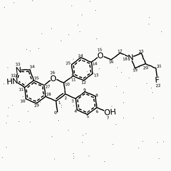 CC1=C(c2ccc(O)cc2)C(c2ccc(OCCN3CC(CF)C3)cc2)Oc2c1ccc1[nH]ncc21